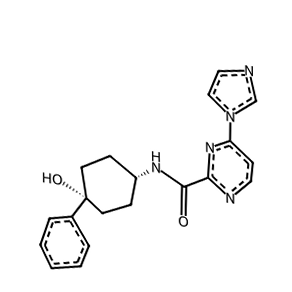 O=C(N[C@H]1CC[C@](O)(c2ccccc2)CC1)c1nccc(-n2ccnc2)n1